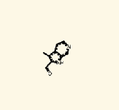 Cc1c(C=O)[nH]c2cnccc12